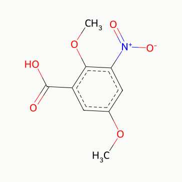 COc1cc(C(=O)O)c(OC)c([N+](=O)[O-])c1